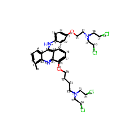 Cc1cccc2c(Nc3ccc(OCCN(CCCl)CCCl)cc3)c3cccc(OCCCCN(CCCl)CCCl)c3nc12